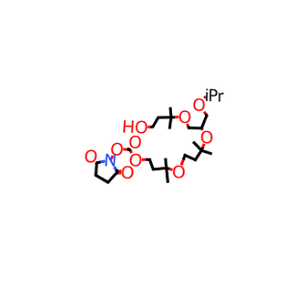 CC(C)OCC(COC(C)(C)CCO)OC(C)(C)CCOC(C)(C)CCOC(=O)ON1C(=O)CCC1=O